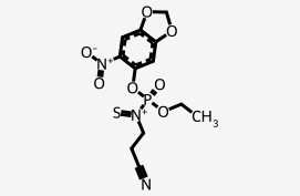 CCOP(=O)(Oc1cc2c(cc1[N+](=O)[O-])OCO2)[N+](=S)CCC#N